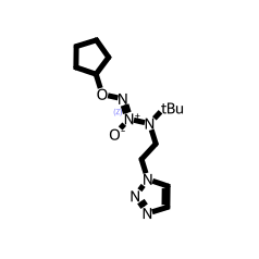 CC(C)(C)N(CCn1ccnn1)/[N+]([O-])=N/OC1CCCC1